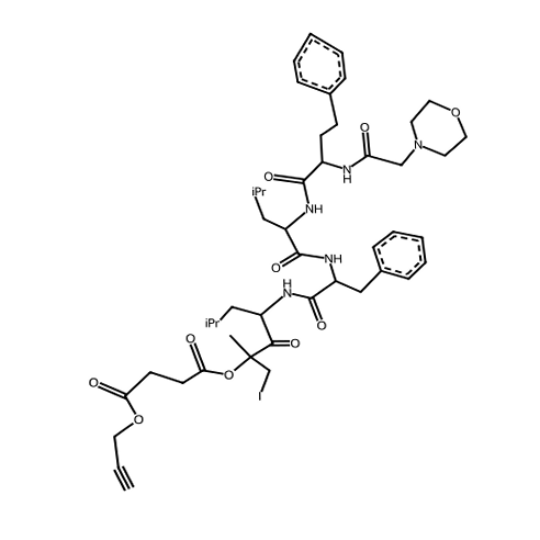 C#CCOC(=O)CCC(=O)OC(C)(CI)C(=O)C(CC(C)C)NC(=O)C(Cc1ccccc1)NC(=O)C(CC(C)C)NC(=O)C(CCc1ccccc1)NC(=O)CN1CCOCC1